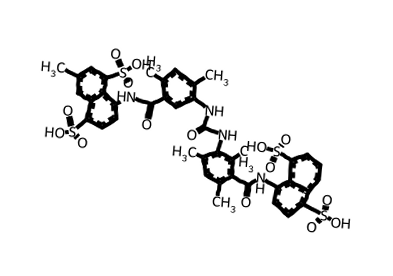 Cc1cc(S(=O)(=O)O)c2c(NC(=O)c3cc(NC(=O)Nc4c(C)cc(C)c(C(=O)Nc5ccc(S(=O)(=O)O)c6cccc(S(=O)(=O)O)c56)c4C)c(C)cc3C)ccc(S(=O)(=O)O)c2c1